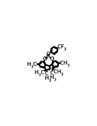 Cc1cc2c3c(c1)C(C)(C)CC31CC(C)(C)c3cc(C)cc(c31)OP(Oc1ccc(C(F)(F)F)cc1)O2